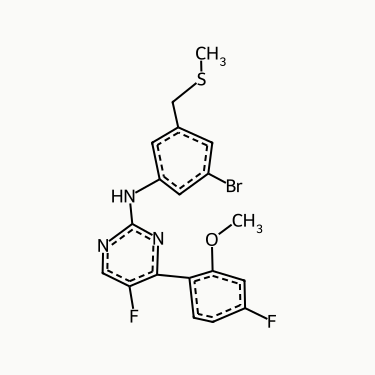 COc1cc(F)ccc1-c1nc(Nc2cc(Br)cc(CSC)c2)ncc1F